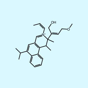 C/C=C\[N+]1=Cc2cc(C(C)C)c3ccccc3c2C(C)C1(C)/C(=C/COC)CO